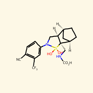 N#Cc1ccc(N2C[C@H]3[C@H]4CC[C@H](C4)[C@@]3(CNC(=O)O)S2(O)O)cc1C(F)(F)F